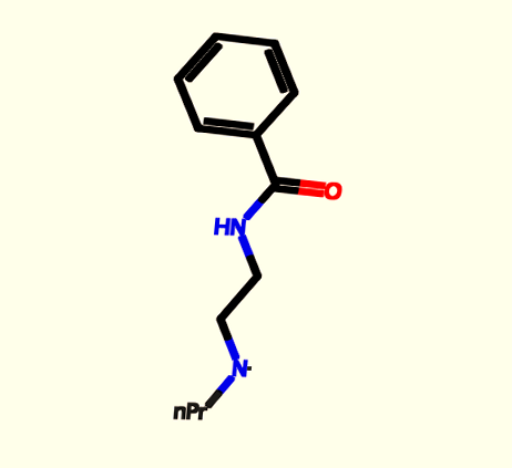 CCC[N]CCNC(=O)c1ccccc1